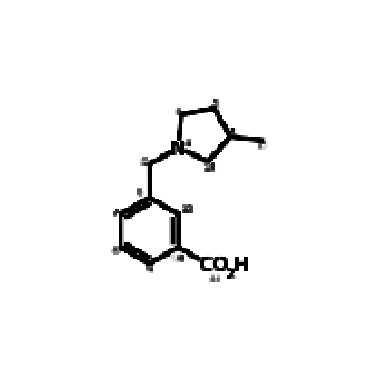 CC1CCN(Cc2cccc(C(=O)O)c2)C1